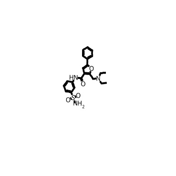 CCN(CC)Cc1oc(-c2ccccc2)cc1C(=O)Nc1cccc(S(N)(=O)=O)c1